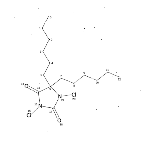 CCCCCCC1(CCCCCC)C(=O)N(Cl)C(=O)N1Cl